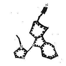 Cn1ccnc1-n1c2ccccc2c2cc(C#N)ccc21